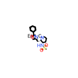 CCOC(=O)N1CCC[C@H](NS(C)(=O)=O)[C@@H]1Cc1coc(-c2ccccc2)n1